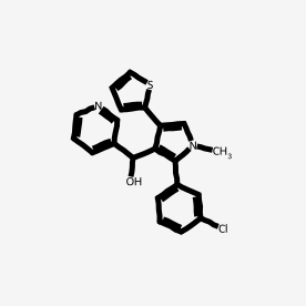 Cn1cc(-c2cccs2)c(C(O)c2cccnc2)c1-c1cccc(Cl)c1